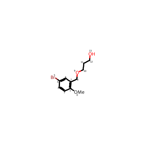 COc1ccc(Br)cc1COCCCO